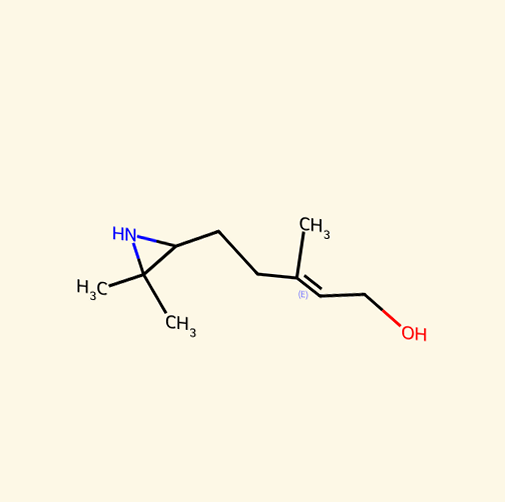 C/C(=C\CO)CCC1NC1(C)C